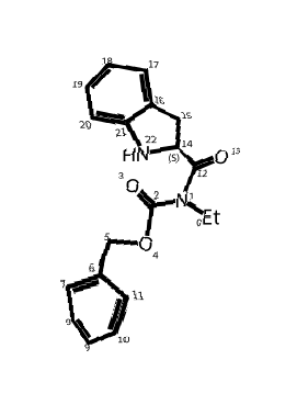 CCN(C(=O)OCc1ccccc1)C(=O)[C@@H]1Cc2ccccc2N1